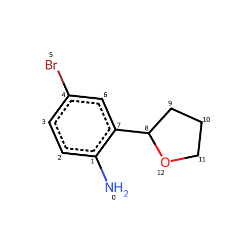 Nc1ccc(Br)cc1C1CCCO1